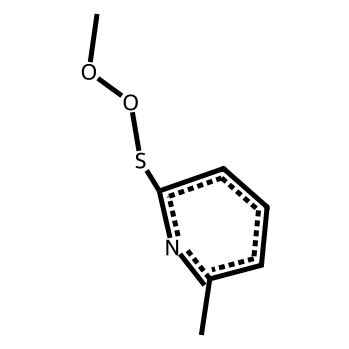 COOSc1cccc(C)n1